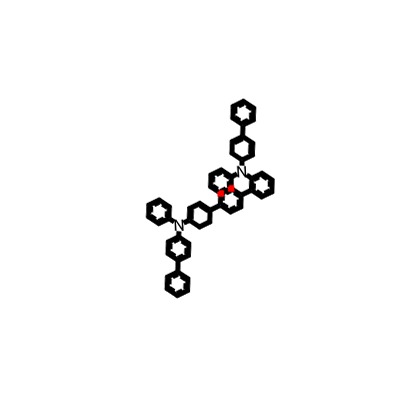 C1=CC(N(c2ccccc2)c2ccccc2-c2ccc(C3=CC=C(N(c4ccccc4)c4ccc(-c5ccccc5)cc4)CC3)cc2)CC=C1c1ccccc1